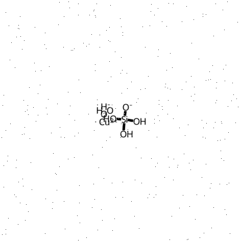 O.[Cu+2].[O-][Si](O)(O)O.[OH-]